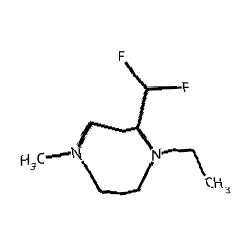 CCN1CCN(C)CC1C(F)F